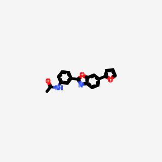 CC(=O)Nc1cccc(-c2nc3ccc(-c4ccco4)cc3o2)c1